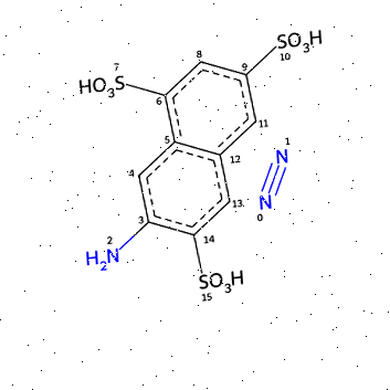 N#N.Nc1cc2c(S(=O)(=O)O)cc(S(=O)(=O)O)cc2cc1S(=O)(=O)O